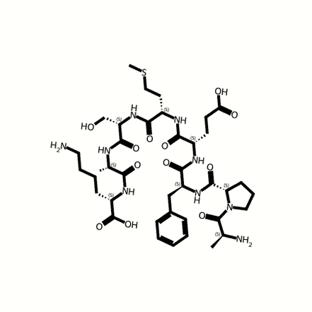 CSCC[C@H](NC(=O)[C@H](CCC(=O)O)NC(=O)[C@H](Cc1ccccc1)NC(=O)[C@@H]1CCCN1C(=O)[C@H](C)N)C(=O)N[C@@H](CO)C(=O)N[C@@H](C)C(=O)N[C@@H](CCCCN)C(=O)O